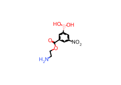 NCCOC(=O)c1cc(B(O)O)cc([N+](=O)[O-])c1